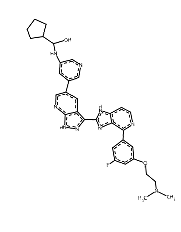 CN(C)CCOc1cc(F)cc(-c2nccc3[nH]c(-c4n[nH]c5ncc(-c6cncc(NC(O)C7CCCC7)c6)cc45)nc23)c1